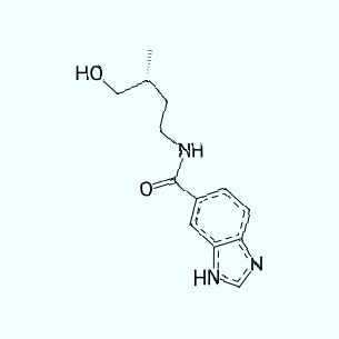 C[C@@H](CO)CCNC(=O)c1ccc2nc[nH]c2c1